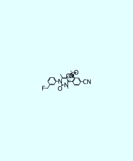 CC1=C(C#N)[C@@H](c2ccc(C#N)cc2S(C)(=O)=O)N(C)C(=O)N1c1cccc(CF)c1